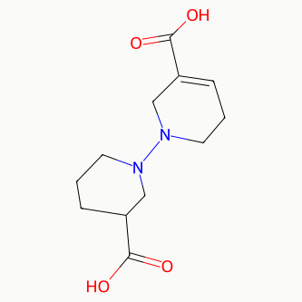 O=C(O)C1=CCCN(N2CCCC(C(=O)O)C2)C1